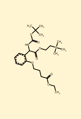 CCOC(=O)CCCOc1ccccc1C(NC(=O)OC(C)(C)C)C(=O)OCC[Si](C)(C)C